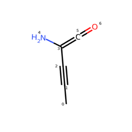 CC#CC(N)=C=O